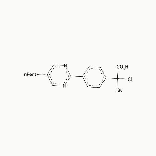 CCCCCc1cnc(-c2ccc(C(Cl)(C(=O)O)C(C)CC)cc2)nc1